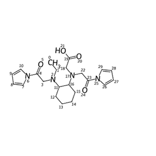 CCN(CC(=O)n1cccc1)C1CCCCC1N(CC(=O)O)CC(=O)n1cccc1